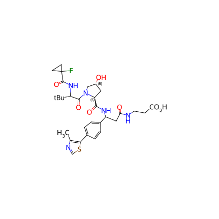 Cc1ncsc1-c1ccc(C(CC(=O)NCCC(=O)O)NC(=O)[C@@H]2C[C@@H](O)CN2C(=O)C(NC(=O)C2(F)CC2)C(C)(C)C)cc1